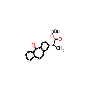 CCCCOC(=O)C(C)c1ccc2c(=O)c3ccccc3ccc2c1